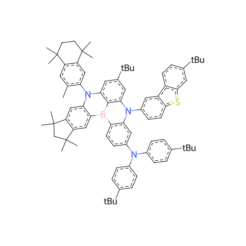 Cc1cc2c(cc1N1c3cc4c(cc3B3c5ccc(N(c6ccc(C(C)(C)C)cc6)c6ccc(C(C)(C)C)cc6)cc5N(c5ccc6sc7cc(C(C)(C)C)ccc7c6c5)c5cc(C(C)(C)C)cc1c53)C(C)(C)CC4(C)C)C(C)(C)CCC2(C)C